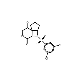 O=C1NCC(=O)C23CCCC2N(S(=O)(=O)c2cc(Cl)cc(Cl)c2)C13